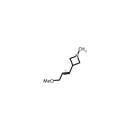 COC/C=C/C1CN(C)C1